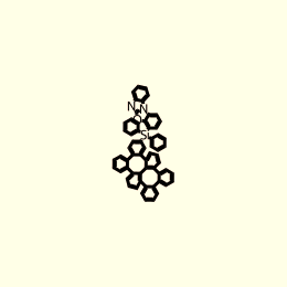 c1ccc([Si](c2ccccc2)(c2ccc3c(c2)c2cccc4c2-c2c(cccc2c2ccccc23)c2ccccc2c2ccccc42)c2cccc3c2oc2nc4ccccc4n23)cc1